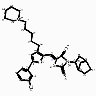 O=C1/C(=C/c2oc(-c3cccc(Cl)c3)cc2CCCCCN2CCCCC2)SC(=S)N1C1CC2CCC1C2